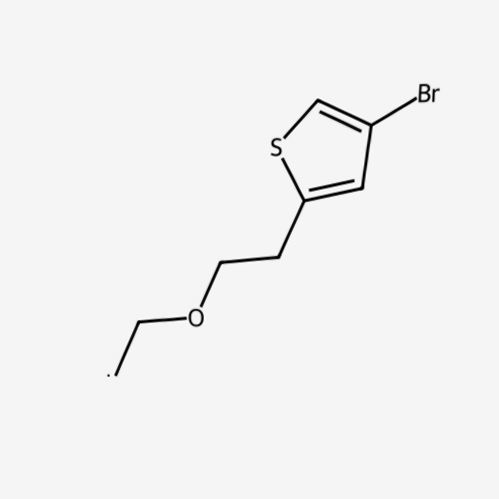 [CH2]COCCc1cc(Br)cs1